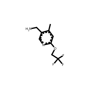 Cc1cc(OCC(F)(F)F)ncc1CN